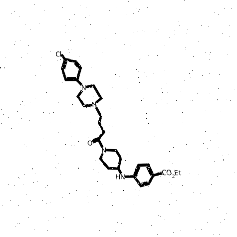 CCOC(=O)c1ccc(NC2CCN(C(=O)CCCN3CCN(c4ccc(Cl)cc4)CC3)CC2)cc1